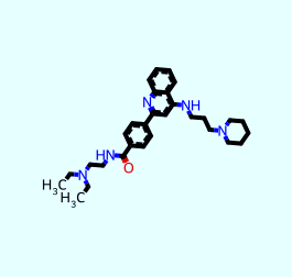 CCN(CC)CCNC(=O)c1ccc(-c2cc(NCCCN3CCCCC3)c3ccccc3n2)cc1